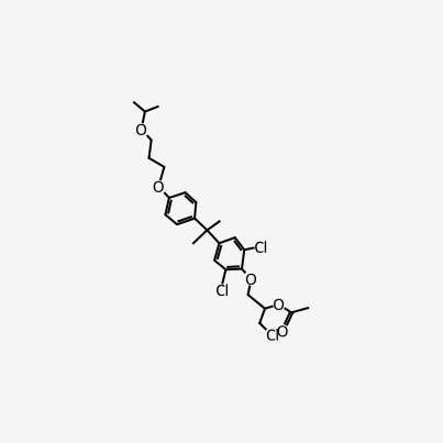 CC(=O)OC(CCl)COc1c(Cl)cc(C(C)(C)c2ccc(OCCCOC(C)C)cc2)cc1Cl